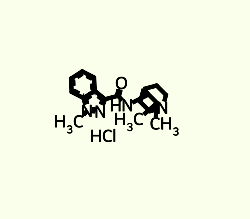 Cl.Cn1nc(C(=O)NC2C3CCN(CC3)C2(C)C)c2ccccc21